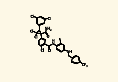 Cc1cc(NCc2ccc(C(F)(F)F)cc2)ccc1NC(=O)c1cc(C2(C(N)=O)C(c3cc(Cl)cc(Cl)c3)C2(Cl)Cl)ccc1Cl